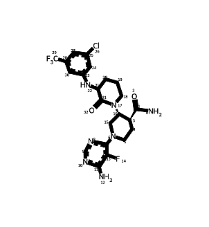 NC(=O)[C@H]1CCN(c2ncnc(N)c2F)C[C@@H]1N1CCCC(Nc2cc(Cl)cc(C(F)(F)F)c2)C1=O